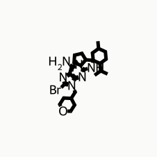 CC1CCC(C(C)C)C(Nc2nc(N)c3nc(Br)n(CC4CCOCC4)c3n2)(C2CCCC2)C1